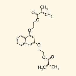 C=C(C)C(=O)OCCOc1cc(OCCOC(=O)C(=C)C)c2ccccc2c1